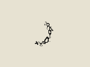 C[C@@H]1CC2(CC[C@H]1Oc1ccc3c(C4CCC(=O)NC4=O)nn(C)c3c1)CN(C(=O)OC(C)(C)C)C2